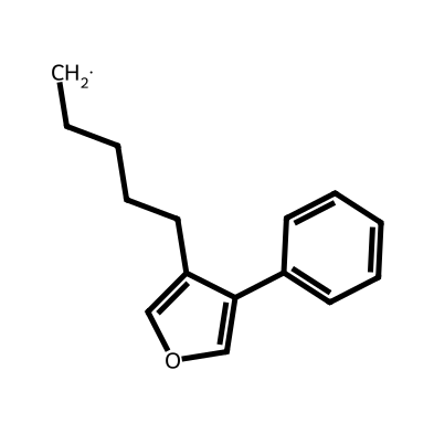 [CH2]CCCCc1cocc1-c1ccccc1